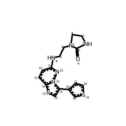 O=C1NCCN1CCNc1ccc2ncc(-c3ccsc3)n2n1